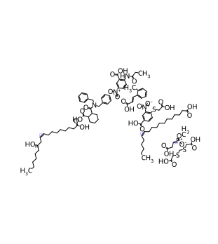 CCC(=O)Nc1ccc([N+](=O)[O-])cc1C(=O)O.CCCCC/C=C\CCCCCCCCCCC(=O)O.CCCCCC[C@@H](O)C/C=C\CCCCCCCC(=O)O.CO/[P+]([O-])=C/CC(=O)O.Cc1ccccc1C=CC(=O)O.O=C(O)C1CCCCC1C(=O)N(Cc1ccccc1)Cc1ccccc1.O=C(O)CSCSCC(=O)O.O=C(O)CSc1ccc(C(=O)O)cc1[N+](=O)[O-]